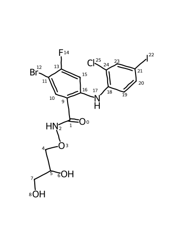 O=C(NOCC(O)CO)c1cc(Br)c(F)cc1Nc1ccc(I)cc1Cl